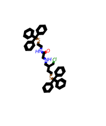 O=C(CNCC(CCl)CCSC(c1ccccc1)(c1ccccc1)c1ccccc1)NCCSC(c1ccccc1)(c1ccccc1)c1ccccc1